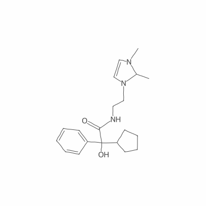 CC1N(C)C=CN1CCNC(=O)C(O)(c1ccccc1)C1CCCC1